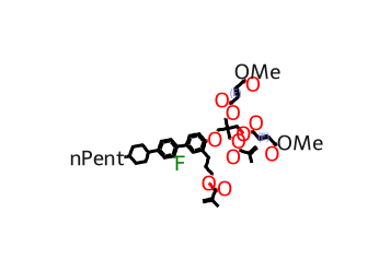 C=C(C)C(=O)OCCCc1cc(-c2ccc(C3CCC(CCCCC)CC3)cc2F)ccc1OCC(COC(=O)/C=C/C(=O)OC)(COC(=O)/C=C/C(=O)OC)COC(=O)C(=C)C